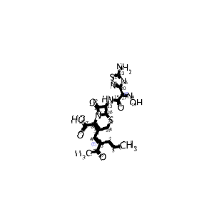 CCC/C(=C\C1=C(C(=O)O)N2C(=O)C(NC(=O)/C(=N\O)c3nsc(N)n3)C2SC1)C(C)=O